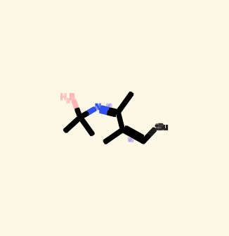 BC(C)(C)/N=C(C)\C(C)=C/C(C)(C)C